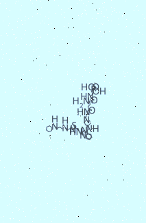 N[C@@H](CCC(=O)NCCN1CCC(Nc2nc(NCc3nc(CNCCCNC4CCCCC4)cs3)nc3ccccc23)CC1)C(=O)NCCP(=O)(O)O